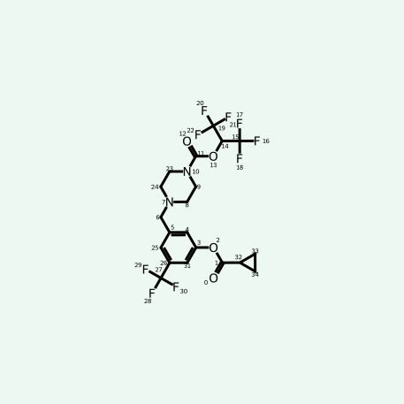 O=C(Oc1cc(CN2CCN(C(=O)OC(C(F)(F)F)C(F)(F)F)CC2)cc(C(F)(F)F)c1)C1CC1